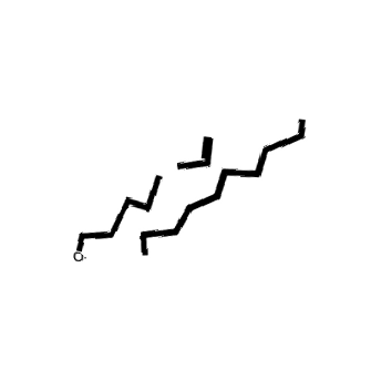 C=CC.CCCCCCCCCC.CCCCC[O]